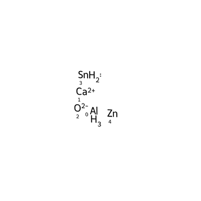 [AlH3].[Ca+2].[O-2].[SnH2].[Zn]